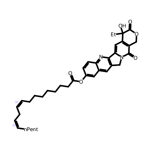 CCCCC/C=C\C/C=C\CCCCCCCC(=O)Oc1ccc2nc3c(cc2c1)Cn1c-3cc2c(c1=O)COC(=O)C2(O)CC